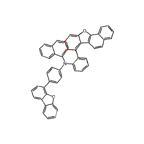 c1ccc(N(c2ccc(-c3cccc4c3oc3ccccc34)cc2)c2cccc3ccccc23)c(-c2cccc3oc4c5ccccc5ccc4c23)c1